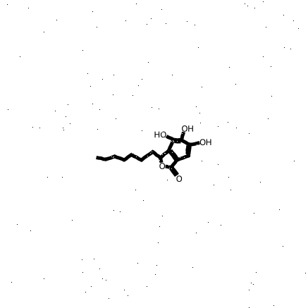 CCCCCCCC1OC(=O)c2cc(O)c(O)c(O)c21